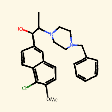 COc1ccc2cc(C(O)C(C)N3CCN(Cc4ccccc4)CC3)ccc2c1Cl